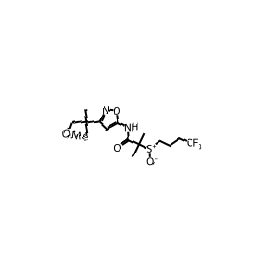 COCC(C)(C)c1cc(NC(=O)C(C)(C)[S+]([O-])CCCC(F)(F)F)on1